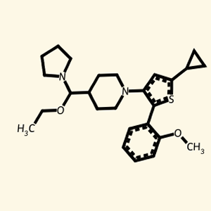 CCOC(C1CCN(c2cc(C3CC3)sc2-c2ccccc2OC)CC1)N1CCCC1